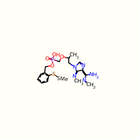 C=N/C(N)=C1/N=CN(CC(C)OCP(=O)(O)OCc2ccccc2SSC)/C1=N/C